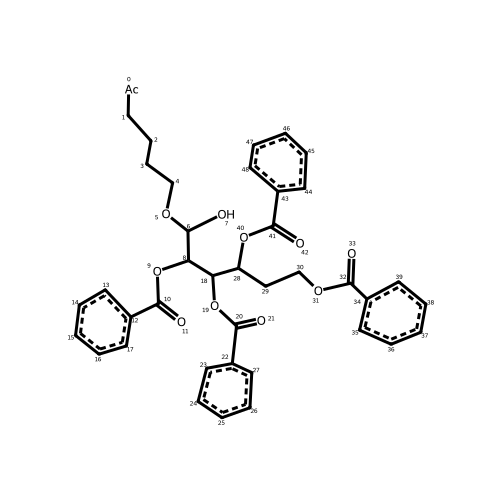 CC(=O)CCCCOC(O)C(OC(=O)c1ccccc1)C(OC(=O)c1ccccc1)C(CCOC(=O)c1ccccc1)OC(=O)c1ccccc1